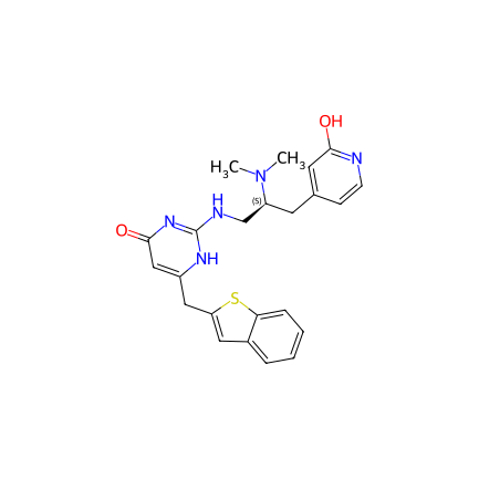 CN(C)[C@H](CNc1nc(=O)cc(Cc2cc3ccccc3s2)[nH]1)Cc1ccnc(O)c1